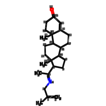 C=C(C)C/N=C(\C)C1CCC2C3CCC4=CC(=O)CCC4(C)C3CCC12C